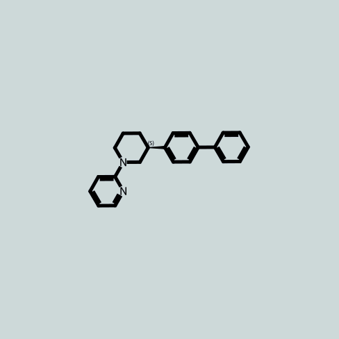 c1ccc(-c2ccc([C@@H]3CCCN(c4ccccn4)C3)cc2)cc1